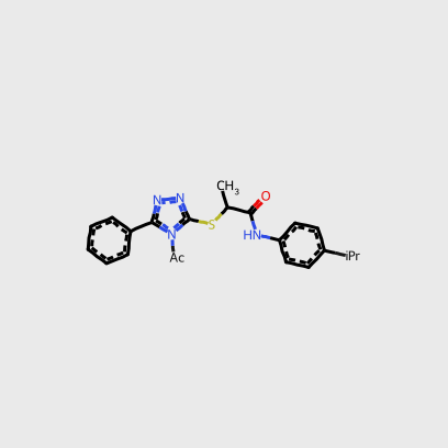 CC(=O)n1c(SC(C)C(=O)Nc2ccc(C(C)C)cc2)nnc1-c1ccccc1